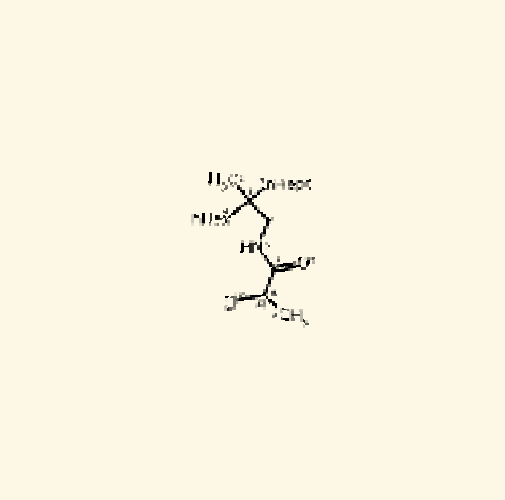 CCCCCCCC(C)(CCCCCC)CNC(=O)[C@@H](C)Cl